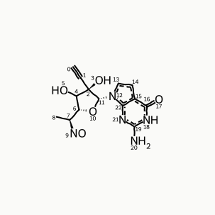 C#C[C@@]1(O)C(O)[C@@H]([C@H](C)N=O)O[C@H]1n1ccc2c(=O)[nH]c(N)nc21